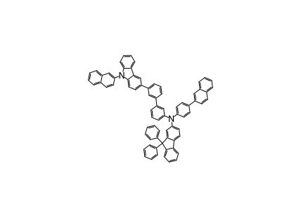 c1ccc(C2(c3ccccc3)c3ccccc3-c3ccc(N(c4ccc(-c5ccc6ccccc6c5)cc4)c4cccc(-c5cccc(-c6ccc7c(c6)c6ccccc6n7-c6ccc7ccccc7c6)c5)c4)cc32)cc1